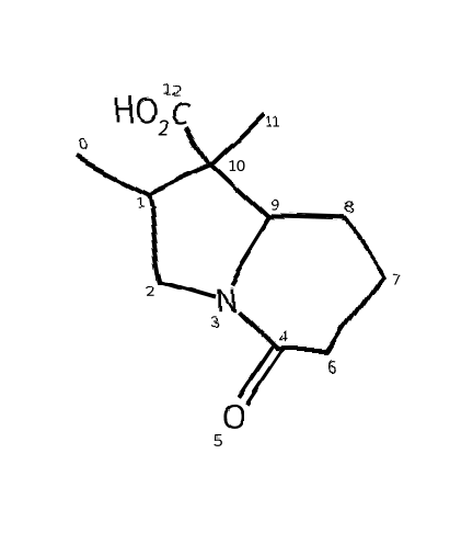 CC1CN2C(=O)CCCC2C1(C)C(=O)O